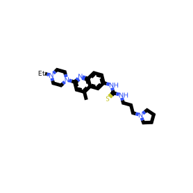 CCN1CCN(c2cc(C)c3cc(NC(=S)NCCCN4CCCC4)ccc3n2)CC1